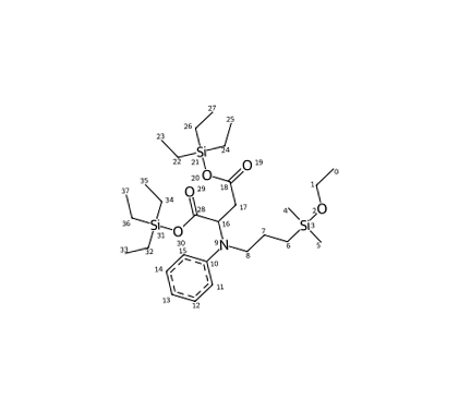 CCO[Si](C)(C)CCCN(c1ccccc1)C(CC(=O)O[Si](CC)(CC)CC)C(=O)O[Si](CC)(CC)CC